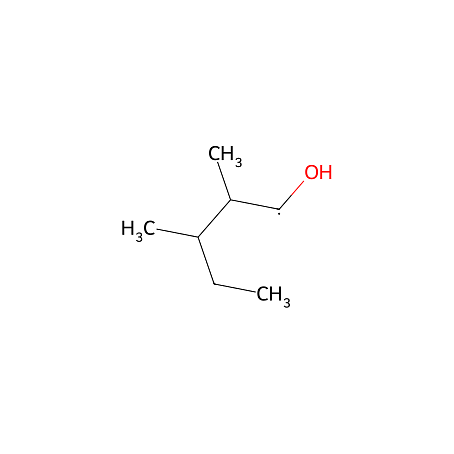 CCC(C)C(C)[CH]O